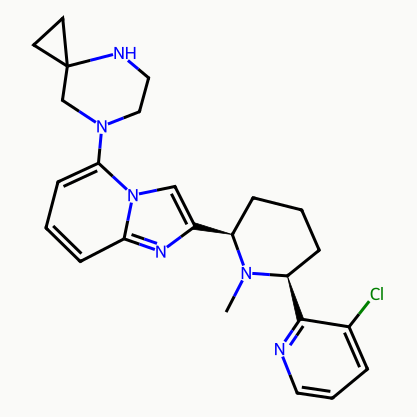 CN1[C@@H](c2cn3c(N4CCNC5(CC5)C4)cccc3n2)CCC[C@H]1c1ncccc1Cl